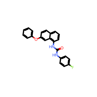 O=C(Nc1ccc(F)cc1)Nc1cccc2ccc(Oc3ccccc3)cc12